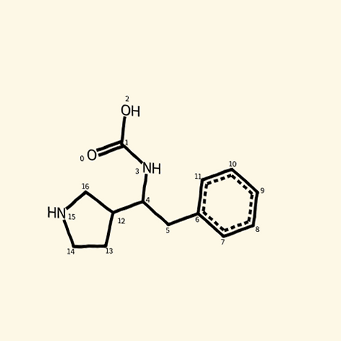 O=C(O)NC(Cc1ccccc1)C1CCNC1